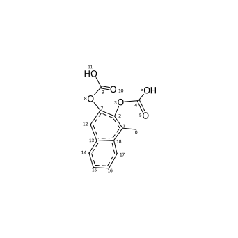 Cc1c(OC(=O)O)c(OC(=O)O)cc2ccccc12